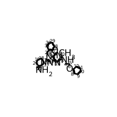 Cn1c(NCCOc2ccccc2)nc2nc(N3CCCC(N)C3)n(Cc3ccccc3)c2c1=O